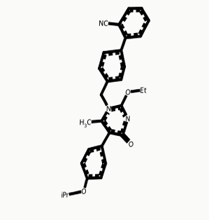 CCOc1nc(=O)c(-c2ccc(OC(C)C)cc2)c(C)n1Cc1ccc(-c2ccccc2C#N)cc1